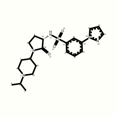 CC(C)N1CCC(N2CC[C@H](NS(=O)(=O)c3cccc(-n4cccn4)c3)C2=O)CC1